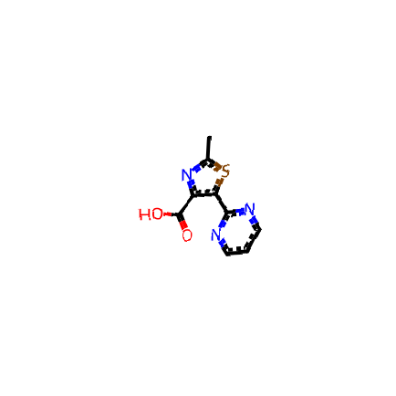 Cc1nc(C(=O)O)c(-c2ncccn2)s1